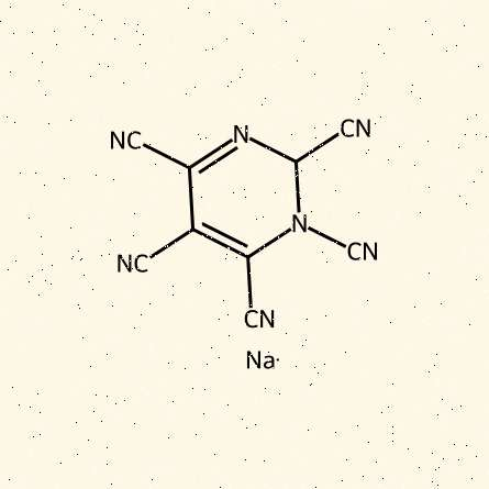 N#CC1=NC(C#N)N(C#N)C(C#N)=C1C#N.[Na]